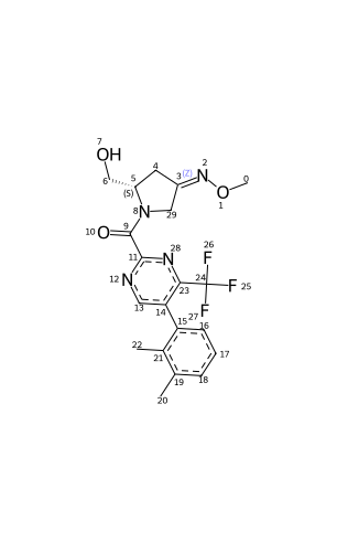 CO/N=C1/C[C@@H](CO)N(C(=O)c2ncc(-c3cccc(C)c3C)c(C(F)(F)F)n2)C1